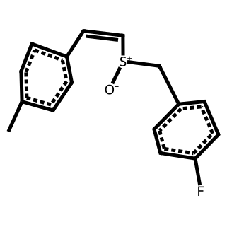 Cc1ccc(/C=C\[S+]([O-])Cc2ccc(F)cc2)cc1